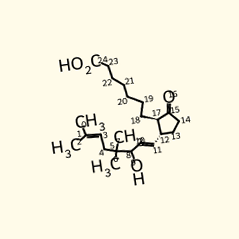 CC(C)=CCC(C)(C)C(O)C=C[C@H]1CCC(=O)[C@@H]1CCCCCCC(=O)O